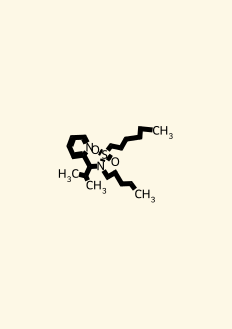 CCCCCCS(=O)(=O)N(CCCCC)C(c1ccccn1)C(C)C